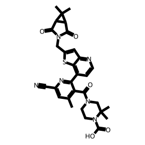 Cc1cc(C#N)nc(-c2ccnc3cc(CN4C(=O)C5C(C4=O)C5(C)C)sc23)c1C(=O)N1CCN(C(=O)O)C(C)(C)C1